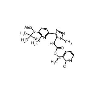 BC(B)(B)N(SC)c1ccc(-c2nnn(C)c2NC(=O)O[C@H](C)c2cccnc2Cl)nc1C